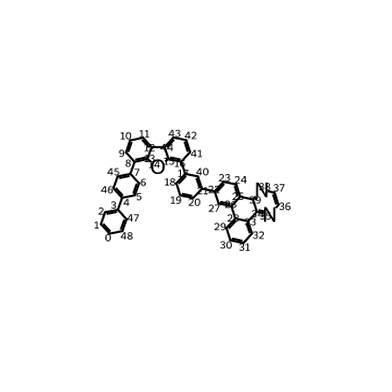 c1ccc(-c2ccc(-c3cccc4c3oc3c(-c5cccc(-c6ccc7c(c6)c6ccccc6c6nccnc76)c5)cccc34)cc2)cc1